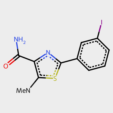 CNc1sc(-c2cccc(I)c2)nc1C(N)=O